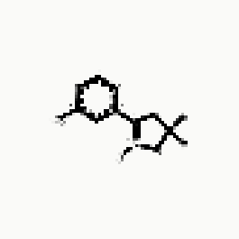 CC1(C)CC(c2cccc(Cl)c2)=[N+]([O-])C1